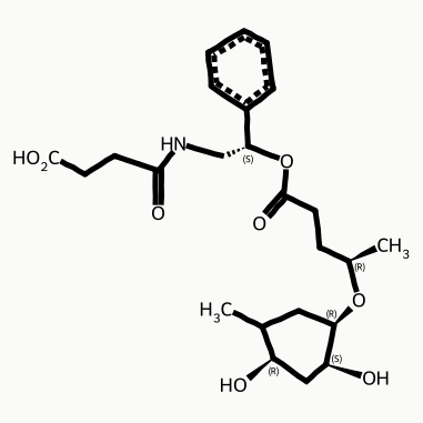 CC1C[C@@H](O[C@H](C)CCC(=O)O[C@H](CNC(=O)CCC(=O)O)c2ccccc2)[C@@H](O)C[C@H]1O